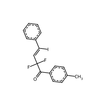 Cc1ccc(C(=O)C(F)(F)C=C(I)c2ccccc2)cc1